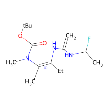 C=C(N/C(CC)=C(/C)N(C)C(=O)OC(C)(C)C)NC(C)F